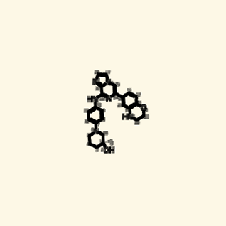 C[C@]1(O)CCCN(c2ccc(Nc3nc(-c4ccc5c(c4)NCCO5)cn4ccnc34)cc2)C1